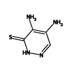 Nc1cn[nH]c(=S)c1N